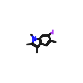 Cc1cc2c(C)c(C)n(C)c2cc1I